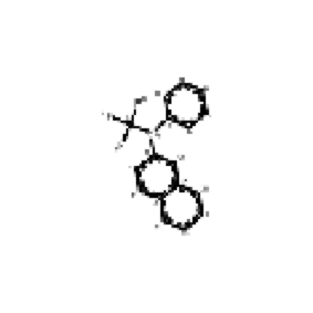 FC(F)(F)[S+](c1ccccc1)c1ccc2ccccc2c1